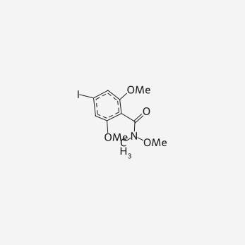 COc1cc(I)cc(OC)c1C(=O)N(C)OC